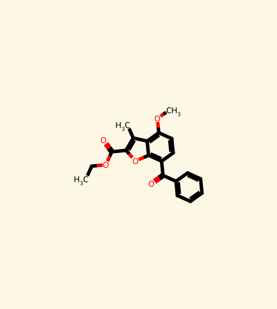 CCOC(=O)c1oc2c(C(=O)c3ccccc3)ccc(OC)c2c1C